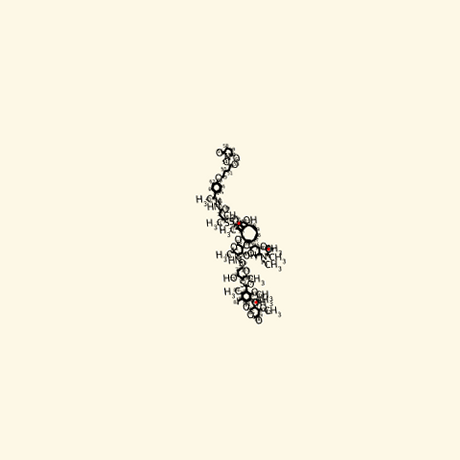 CCN(C(C)=O)C1COC(OC2C(O[C@H]3C#C/C=C\C#C[C@]4(O)CC(=O)C(C)=C3/C4=C\CSSC(C)(C)CC(=O)N/N=C(\C)c3ccc(OCCCC(=O)ON4C(=O)CCC4=O)cc3)OC(C)C(NOC3CC(O)C(SC(=O)c4c(C)c(I)c(OC5OC6OC6C(OC)C5O)c(OC)c4OC)C(C)O3)C2O)CC1OC